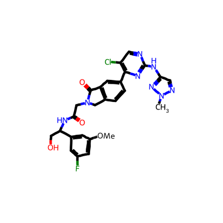 COc1cc(F)cc(C(CO)NC(=O)CN2Cc3ccc(-c4nc(Nc5cnn(C)n5)ncc4Cl)cc3C2=O)c1